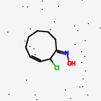 ON=C1CCCCCC=CC1Cl